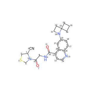 N#CC1CSCN1C(=O)CNC(=O)c1ccnc2ccc(N3CCC34CCC4)cc12